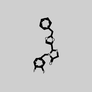 O=C1CSC(C2=COC(Cc3ccccc3)O2)N1Cc1ccc(F)c(F)c1